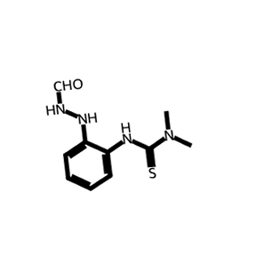 CN(C)C(=S)Nc1ccccc1NNC=O